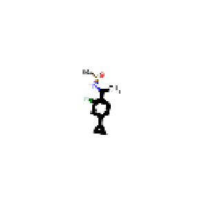 CC(N[S@+]([O-])C(C)(C)C)c1ccc(C2CC2)cc1F